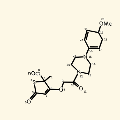 CCCCCCCCC1(C)SC(=O)C=C1OCC(=O)N1CCN(C2=CCC(OC)C=C2)CC1